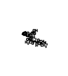 C[C@H](NC(=O)CNC(=O)OC(C)(C)C)C(=O)N(C)[C@@H](Cc1ccccc1)C(=O)NCC(=O)O